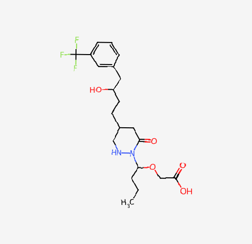 CCCC(OCC(=O)O)N1NCC(CCC(O)Cc2cccc(C(F)(F)F)c2)CC1=O